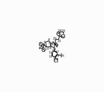 CS(=O)(=O)N1CCc2c(c(-c3ccc(Cl)c(I)c3)nn2CCC2OCCO2)C1